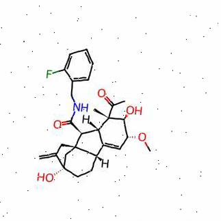 C=C1C[C@]23C[C@@]1(O)CC[C@H]2C1=C[C@@H](OC)[C@H](O)[C@@](C)(C(C)=O)[C@H]1[C@@H]3C(=O)NCc1ccccc1F